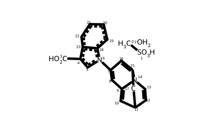 CS(=O)(=O)O.O.O=C(O)c1cn(C2=CC3=CC4C=CN3C(=C2)C4)c2ccccc12